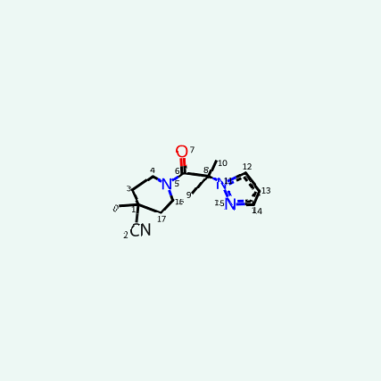 CC1(C#N)CCN(C(=O)C(C)(C)n2c[c]cn2)CC1